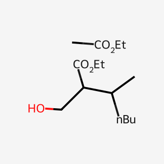 CCCCC(C)C(CO)C(=O)OCC.CCOC(C)=O